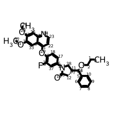 CCCO[C@H](c1ccccc1)[C@@H]1CC(=O)N(c2ccc(Oc3ccnc4cc(OC)c(OC)cc34)c(F)c2)C1